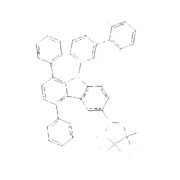 CC1(C)OB(c2ccc3c(c2)c2c(-c4ccccc4)ccc(-c4ccccc4)c2n3-c2cccc(-c3ccccc3)c2)OC1(C)C